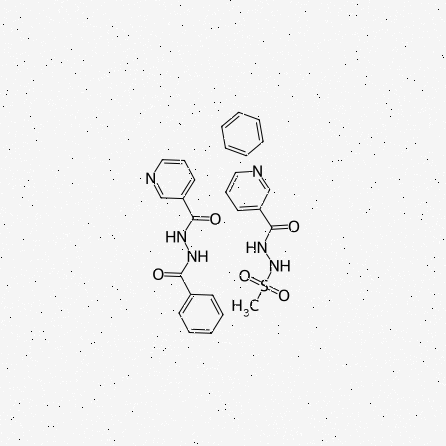 CS(=O)(=O)NNC(=O)c1cccnc1.O=C(NNC(=O)c1cccnc1)c1ccccc1.c1ccccc1